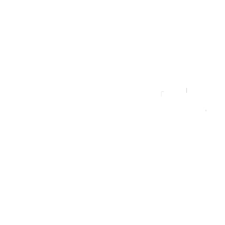 C=CCCCCCCC1CCC(C2CC=C(c3ccc(OCC)c(F)c3F)CC2)CC1